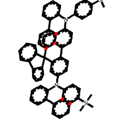 C[Si](C)(C)c1ccc(N(c2ccc3c(c2)C2(c4ccccc4-c4ccccc42)c2cccc4c(N(c5ccc([Si](C)(C)C)cc5)c5ccccc5-c5ccccc5)ccc-3c24)c2ccccc2-c2ccccc2)cc1